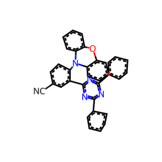 N#Cc1ccc(N2c3ccccc3Oc3ccccc32)c(-c2nc(-c3ccccc3)nc(-c3ccccc3)n2)c1